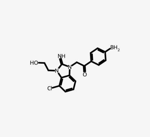 Bc1ccc(C(=O)Cn2c(=N)n(CCO)c3c(Cl)cccc32)cc1